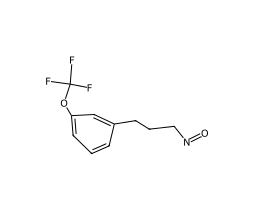 O=NCCCc1cccc(OC(F)(F)F)c1